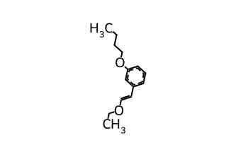 CCCCOc1cccc(C=COCC)c1